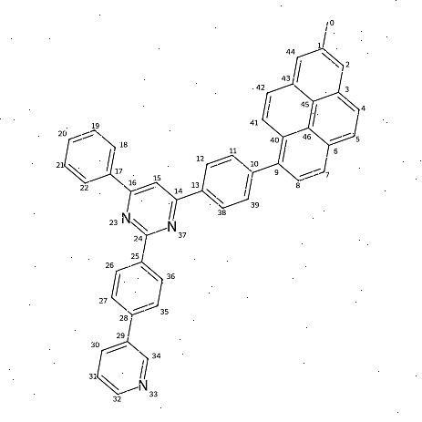 Cc1cc2ccc3ccc(-c4ccc(-c5cc(-c6ccccc6)nc(-c6ccc(-c7cccnc7)cc6)n5)cc4)c4ccc(c1)c2c34